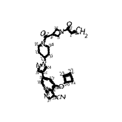 C=CC(=O)N1CC(C(=O)N2CCC(n3cc(-c4cc(OC5CCC5)c5c(C#N)cnn5c4)cn3)CC2)C1